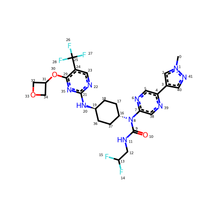 Cn1cc(-c2cnc(N(C(=O)NCC(F)F)[C@H]3CC[C@H](Nc4ncc(C(F)(F)F)c(OC5COC5)n4)CC3)cn2)cn1